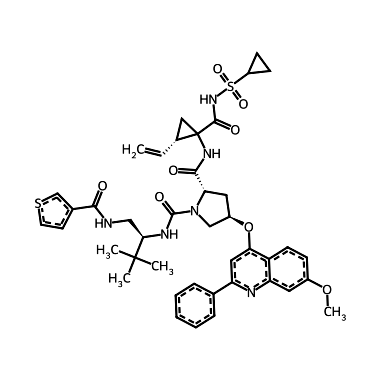 C=C[C@@H]1CC1(NC(=O)[C@@H]1C[C@@H](Oc2cc(-c3ccccc3)nc3cc(OC)ccc23)CN1C(=O)N[C@H](CNC(=O)c1ccsc1)C(C)(C)C)C(=O)NS(=O)(=O)C1CC1